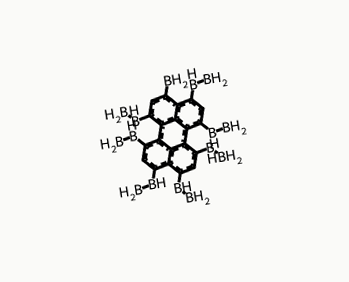 BBc1cc(BB)c2c3c(BB)cc(BB)c4c(BB)cc(BB)c(c5c(BB)cc(B)c1c52)c43